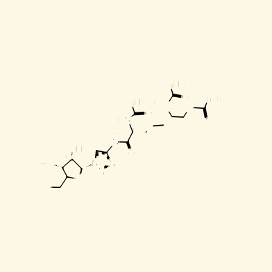 CCCCCCCC(=O)N[C@H](CSC[C@@H](COC(=O)CCCCCCC)OC(=O)CCCCCCC)C(=O)Nc1cn([C@H]2OC(CO)[C@@H](O)[C@H]2O)nn1